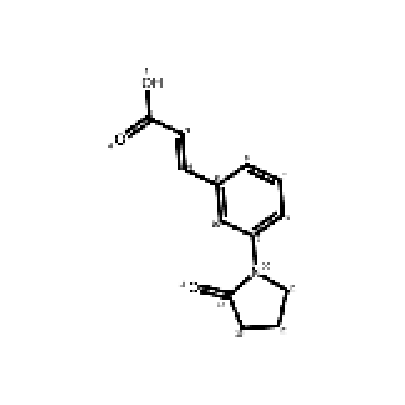 O=C(O)/C=C/c1cccc(N2CCCC2=O)c1